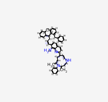 C=C1/C=C\N/C=C/C(c2ccc3ccc(/C=C\C/C(c4ccccc4Cc4ccccc4)=c4\ccccc4=C)c(N)c3n2)=C\C=C(/C)N1c1ccccc1